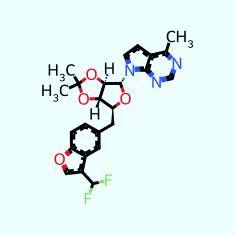 Cc1ncnc2c1ccn2[C@@H]1O[C@@H](Cc2ccc3occ(C(F)F)c3c2)[C@@H]2OC(C)(C)O[C@H]21